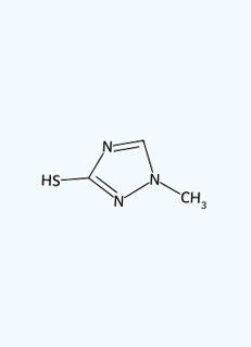 Cn1cnc(S)n1